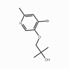 Cc1cc(Br)c(OCC(C)(C)O)cn1